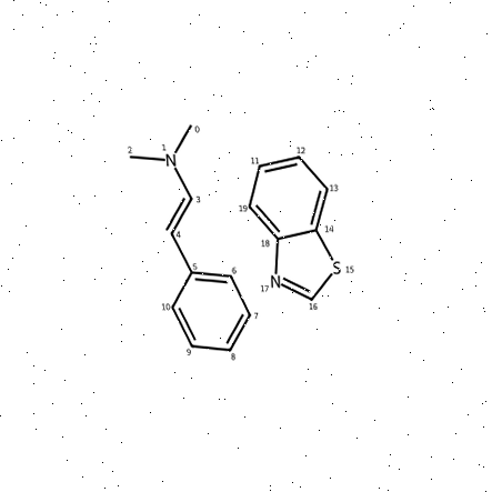 CN(C)C=Cc1ccccc1.c1ccc2scnc2c1